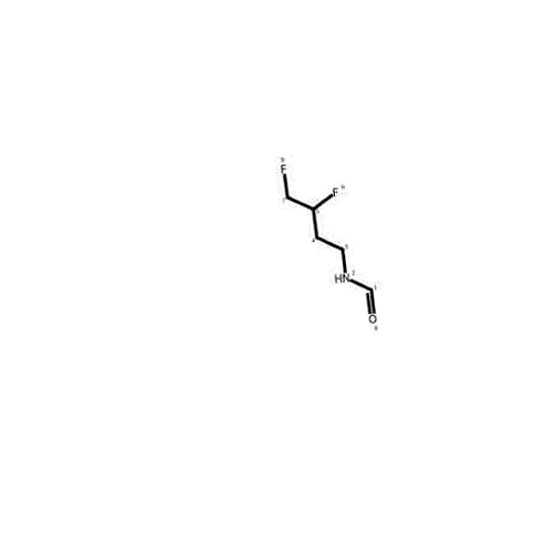 O=CNCCC(F)CF